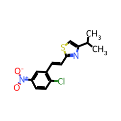 CC(C)c1csc(C=Cc2cc([N+](=O)[O-])ccc2Cl)n1